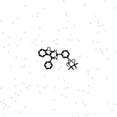 CC1(C)OB(c2cccc(-c3nc(-c4ccccc4)c4c(n3)oc3ccccc34)c2)OC1(C)C